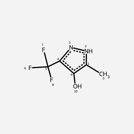 Cc1[nH]nc(C(F)(F)F)c1O